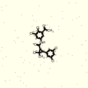 CC(=O)c1cc(NC(=O)C2C(c3cc(Cl)cc(Cl)c3)C2(C)Cl)cc(Cl)c1Cl